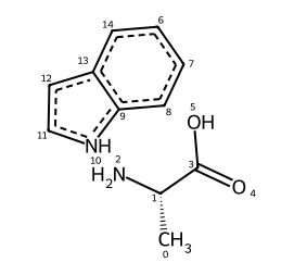 C[C@H](N)C(=O)O.c1ccc2[nH]ccc2c1